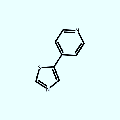 c1cc(-c2cncs2)ccn1